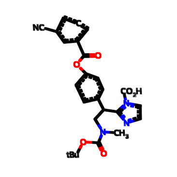 CN(CC(c1ccc(OC(=O)c2cccc(C#N)c2)cc1)c1nccn1C(=O)O)C(=O)OC(C)(C)C